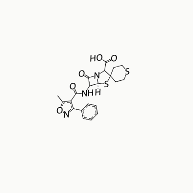 Cc1onc(-c2ccccc2)c1C(=O)NC1C(=O)N2C(C(=O)O)C3(CCSCC3)S[C@@H]12